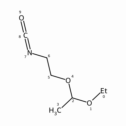 CCOC(C)OCCN=C=O